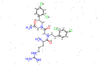 N=C(N)NCCCC(N)C(=O)N(CCc1ccc(Cl)cc1Cl)CC(=O)N(CCc1ccc(Cl)cc1Cl)CC(N)=O